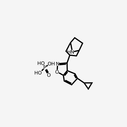 O=P(O)(O)O.c1cc2onc(C3CC4CCC(C3)N4)c2cc1C1CC1